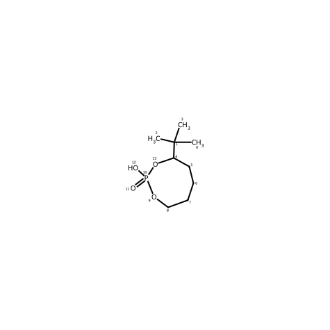 CC(C)(C)C1CCCCOP(=O)(O)O1